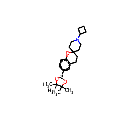 CC1(C)OB(c2ccc3c(c2)CCC2(CCN(C4CCC4)CC2)O3)OC1(C)C